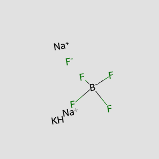 F[B-](F)(F)F.[F-].[KH].[Na+].[Na+]